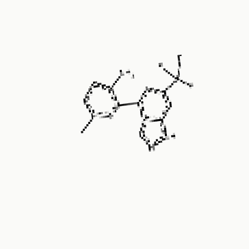 Cc1ccc(N)c(-c2cc(C(F)(F)F)cc3[nH]ncc23)n1